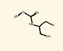 CCCOC(CC)NC(CO)CC(C)C